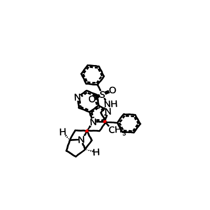 Cc1nc2ccncc2n1[C@H]1C[C@H]2CC[C@@H](C1)N2CCC(CNS(=O)(=O)c1ccccc1)c1ccccc1